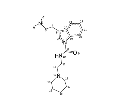 CN(C)CCc1cn(C(=O)NCCN2CCCCC2)c2ccccc12